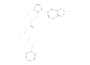 Cn1cc2cc(-c3n[nH]c4c3CN(C(=O)NC3CCCN(Cc5c(F)cccc5F)C3)CC4)ccc2n1